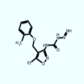 CCc1onc(NC(=O)NN=N)c1COc1ccccc1C